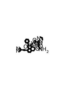 C[C@@H](NC(=O)c1c(NS(N)(=O)=O)nn2cccnc12)c1c2c3c(ccc(C#Cc4cnn(C)c4)c3c(=O)n1-c1ccccc1)CCC2